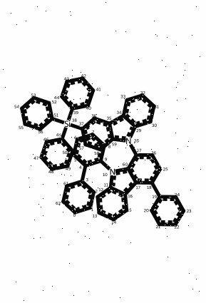 c1ccc(-c2ccccc2-n2c3ccccc3c3c(-c4ccccc4)ccc(-n4c5ccccc5c5cc([Si](c6ccccc6)(c6ccccc6)c6ccccc6)ccc54)c32)cc1